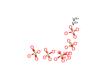 O.O.O=S(=O)([O-])[O-].O=S(=O)([O-])[O-].O=S(=O)([O-])[O-].O=S(=O)([O-])[O-].O=S(=O)([O-])[O-].[V+5].[V+5]